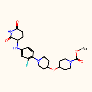 CC(C)(C)OC(=O)N1CCC(OC2CCN(c3ccc(NC4CCC(=O)NC4=O)cc3F)CC2)CC1